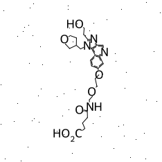 O=C(O)CCCC(=O)NCCOCCOc1ccc2c(c1)ncc1nc(CCO)n(CC3CCOCC3)c12